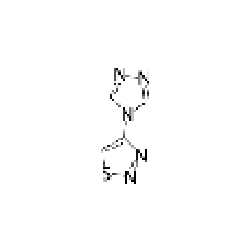 c1snnc1-n1cnnc1